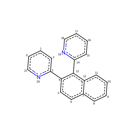 c1ccc(-c2ccc3ccccc3c2-c2ccccn2)nc1